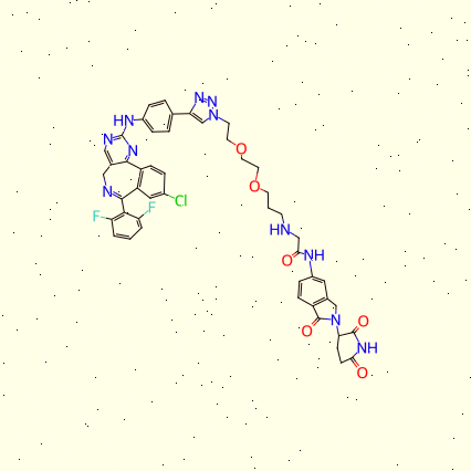 O=C1CCC(N2Cc3cc(NC(=O)CNCCCOCCOCCn4cc(-c5ccc(Nc6ncc7c(n6)-c6ccc(Cl)cc6C(c6c(F)cccc6F)=NC7)cc5)nn4)ccc3C2=O)C(=O)N1